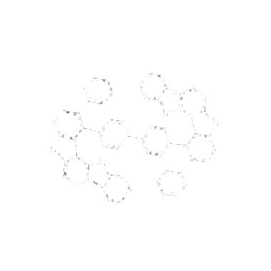 c1ccc(-c2ccc3c(c2-c2ccc(-c4ccc(-c5c(-c6ccccc6)ccc6c5-c5c7c(ccc5=N6)=c5ccccc5=N7)cc4)cc2)-c2c4c(ccc2=N3)=c2ccccc2=N4)cc1